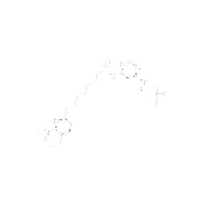 O=C(O)[C@H](CCCCCCCc1ccc2c(n1)NCCC2)Nc1cc(N2CCC(F)(F)CC2)ncn1